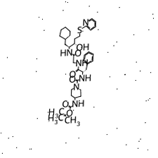 CC(C)(C)OC(=O)NC1CCN(C(=O)N[C@@H](Cc2ccccc2)C(=O)NCC(=O)N[C@@H](CC2CCCCC2)[C@@H](O)CCSc2ccccn2)CC1